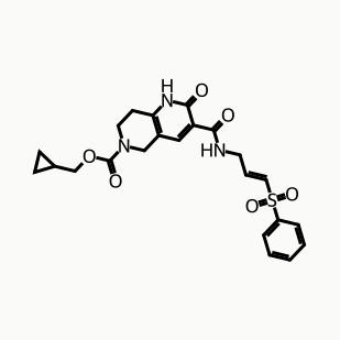 O=C(NC/C=C/S(=O)(=O)c1ccccc1)c1cc2c([nH]c1=O)CCN(C(=O)OCC1CC1)C2